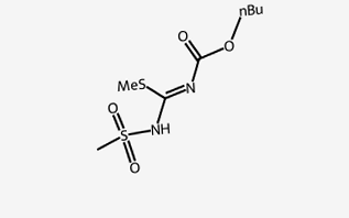 CCCCOC(=O)/N=C(/NS(C)(=O)=O)SC